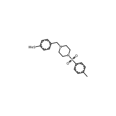 CSc1ccc(CN2CCN(S(=O)(=O)c3ccc(C)cc3)CC2)cc1